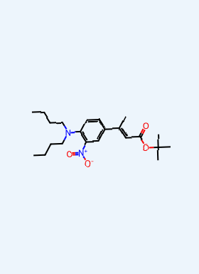 CCCCN(CCCC)c1ccc(/C(C)=C/C(=O)OC(C)(C)C)cc1[N+](=O)[O-]